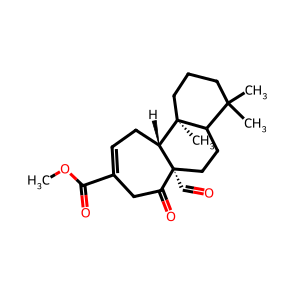 COC(=O)C1=CC[C@H]2[C@@](C=O)(CCC3C(C)(C)CCC[C@@]32C)C(=O)C1